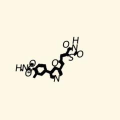 CNS(=O)(=O)c1ccc(-c2cncc3cc(/C=C4\SC(=O)NC4=O)oc23)cc1C